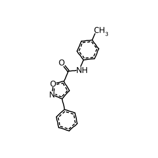 Cc1ccc(NC(=O)c2cc(-c3ccccc3)no2)cc1